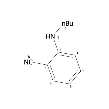 CCCCNc1ccccc1C#N